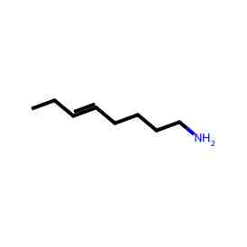 CCC=CCCCCN